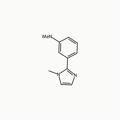 CNc1cccc(-c2nccn2C)c1